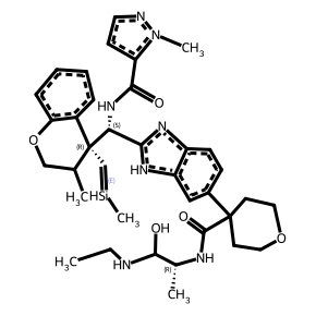 CCNC(O)[C@@H](C)NC(=O)C1(c2ccc3nc([C@@H](NC(=O)c4ccnn4C)[C@]4(/C=[SiH]/C)c5ccccc5OCC4C)[nH]c3c2)CCOCC1